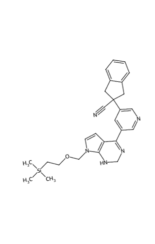 C[Si](C)(C)CCOCn1ccc2c1NCN=C2c1cncc(C2(C#N)Cc3ccccc3C2)c1